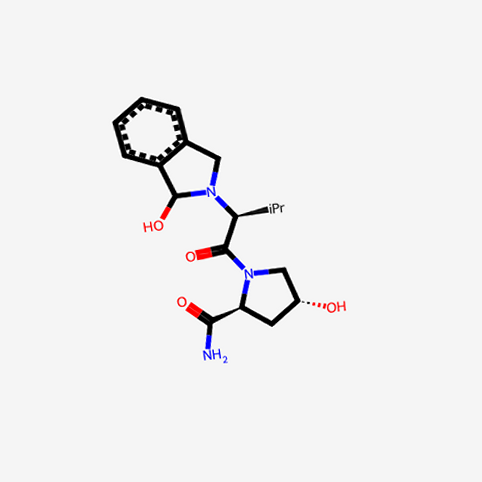 CC(C)[C@@H](C(=O)N1C[C@H](O)C[C@H]1C(N)=O)N1Cc2ccccc2C1O